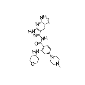 CN1CCN(c2ccc(C(=O)Nc3n[nH]c4nc(N)c(I)cc34)c(NC3CCOCC3)c2)CC1